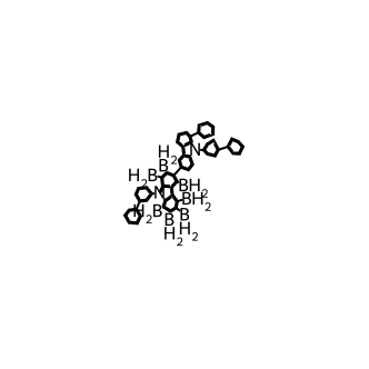 Bc1c(B)c(B)c2c(c1B)c1c(B)c(-c3ccc4c(c3)c3cccc(-c5ccccc5)c3n4-c3ccc(-c4ccccc4)cc3)c(B)c(B)c1n2-c1cccc(-c2ccccc2)c1